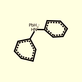 [PbH2].c1ccc(Nc2ccccc2)cc1